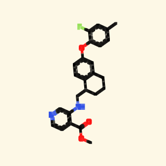 COC(=O)c1ccncc1NCC1CCCc2cc(Oc3ccc(C)cc3F)ccc21